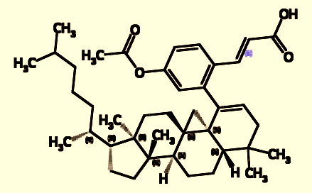 CC(=O)Oc1ccc(/C=C/C(=O)O)c(C2=CCC(C)(C)[C@@H]3CC[C@@H]4[C@]5(CC[C@]6(C)[C@@H]([C@H](C)CCCC(C)C)CC[C@@]46C)C[C@]235)c1